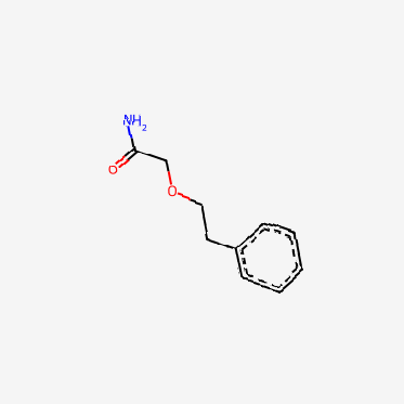 NC(=O)COCCc1ccccc1